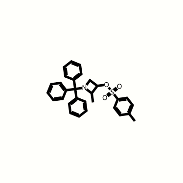 Cc1ccc(S(=O)(=O)OC2CN(C(c3ccccc3)(c3ccccc3)c3ccccc3)C2C)cc1